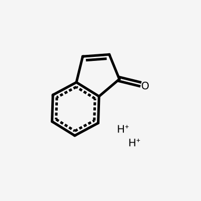 O=C1C=Cc2ccccc21.[H+].[H+]